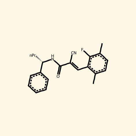 CCC[C@H](NC(=O)/C(C#N)=C/c1c(C)ccc(C)c1F)c1ccccc1